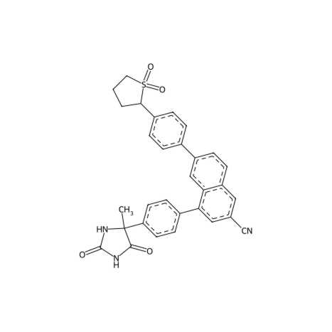 CC1(c2ccc(-c3cc(C#N)cc4ccc(-c5ccc(C6CCCS6(=O)=O)cc5)cc34)cc2)NC(=O)NC1=O